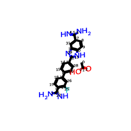 CC(=O)O.N=C(N)c1ccc2[nH]c(-c3ccc(-c4ccc(C(=N)N)c(F)c4)cc3)nc2c1